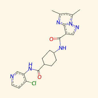 Cc1cc(C)n2ncc(C(=O)NC3CCC(C(=O)Nc4cnccc4Cl)CC3)c2n1